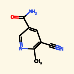 Cc1ncc(C(N)=O)cc1C#N